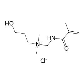 C=C(C)C(=O)NC[N+](C)(C)CCCO.[Cl-]